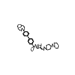 O=C(NCCCN1CCC(N2CCCCC2)CC1)c1ccc(-c2ccc(N3CCOCC3)cc2)cc1